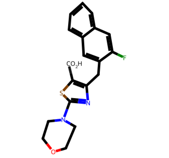 O=C(O)c1sc(N2CCOCC2)nc1Cc1cc2ccccc2cc1F